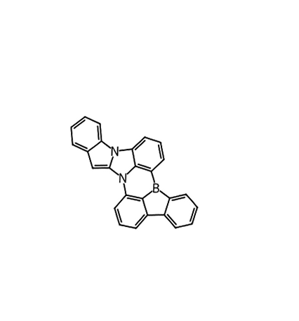 c1ccc2c(c1)B1c3c-2cccc3-n2c3c1cccc3n1c3ccccc3cc21